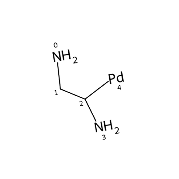 NC[CH](N)[Pd]